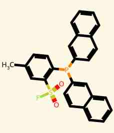 Cc1ccc(P(c2ccc3ccccc3c2)c2ccc3ccccc3c2)c(S(=O)(=O)F)c1